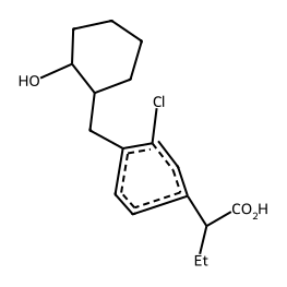 CCC(C(=O)O)c1ccc(CC2CCCCC2O)c(Cl)c1